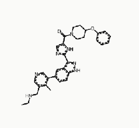 CCNCc1cncc(-c2ccc3[nH]nc(-c4ncc(C(=O)N5CCC(Oc6ccccc6)CC5)[nH]4)c3c2)c1C